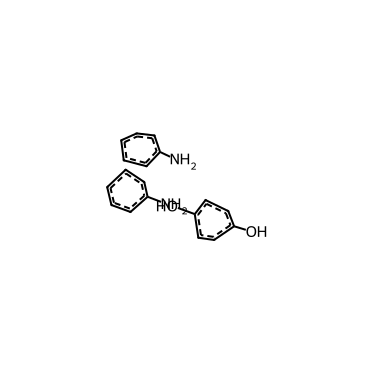 Nc1ccccc1.Nc1ccccc1.Oc1ccc(O)cc1